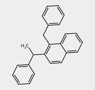 CC(c1ccccc1)c1ccc2ccccc2c1Cc1ccccc1